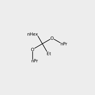 CCCCCCC(CC)(OCCC)OCCC